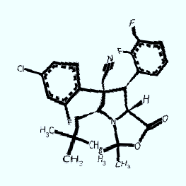 CC(C)(C)C[C@@H]1N2[C@@H](C(=O)OC2(C)C)[C@H](c2cccc(F)c2F)[C@@]1(C#N)c1ccc(Cl)cc1F